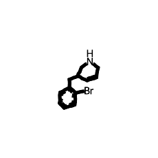 Brc1ccccc1CC1C=CCNC1